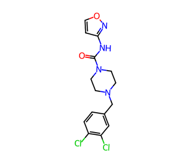 O=C(Nc1ccon1)N1CCN(Cc2ccc(Cl)c(Cl)c2)CC1